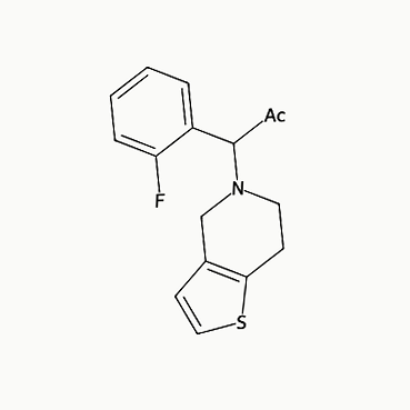 CC(=O)C(c1ccccc1F)N1CCc2sccc2C1